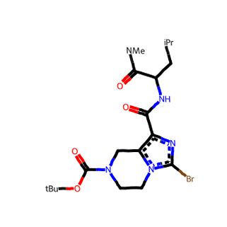 CNC(=O)C(CC(C)C)NC(=O)c1nc(Br)n2c1CN(C(=O)OC(C)(C)C)CC2